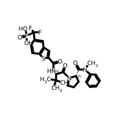 CN(C(=O)[C@@H]1CCCN1C(=O)[C@@H](NC(=O)c1cc2cc(C(F)(F)P(=O)(O)O)ccc2s1)C(C)(C)C)c1ccccc1